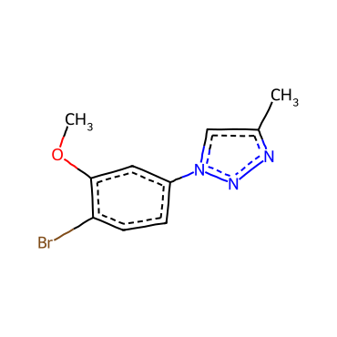 COc1cc(-n2cc(C)nn2)ccc1Br